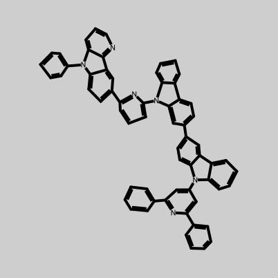 c1ccc(-c2cc(-n3c4ccccc4c4cc(-c5ccc6c7ccccc7n(-c7cccc(-c8ccc9c(c8)c8ncccc8n9-c8ccccc8)n7)c6c5)ccc43)cc(-c3ccccc3)n2)cc1